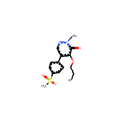 CC(C)CCOc1c(-c2ccc(S(C)(=O)=O)cc2)cnn(C(C)(C)C)c1=O